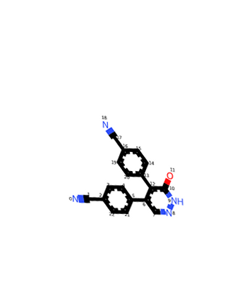 N#Cc1ccc(-c2cn[nH]c(=O)c2-c2ccc(C#N)cc2)cc1